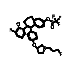 O=S(Oc1ccc2c(c1)CCCC(c1cccc(F)c1Cl)=C2c1ccc(OC2CCN(CCCF)C2)cc1)C(F)(F)F